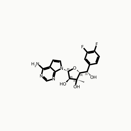 C[C@@]1(O)[C@@H]([C@@H](O)c2ccc(F)c(F)c2)O[C@@H](n2ccc3c(N)ncnc32)[C@@H]1O